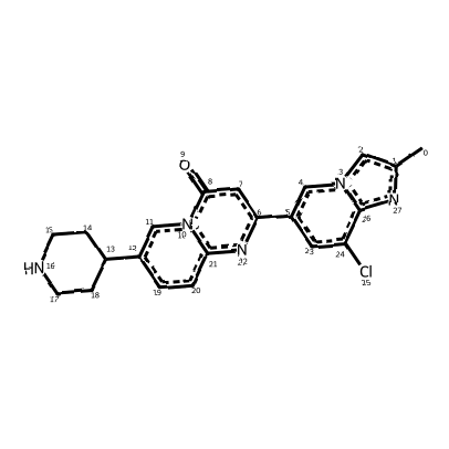 Cc1cn2cc(-c3cc(=O)n4cc(C5CCNCC5)ccc4n3)cc(Cl)c2n1